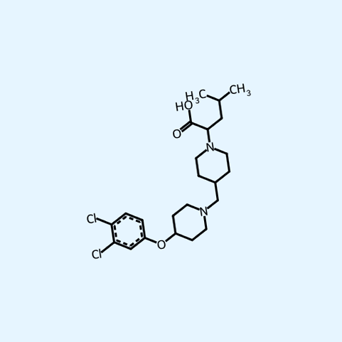 CC(C)CC(C(=O)O)N1CCC(CN2CCC(Oc3ccc(Cl)c(Cl)c3)CC2)CC1